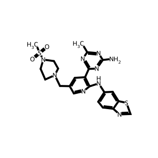 Cc1nc(N)nc(-c2cc(CN3CCN(S(C)(=O)=O)CC3)cnc2Nc2ccc3ncsc3c2)n1